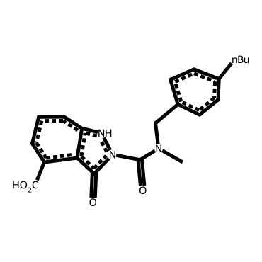 CCCCc1ccc(CN(C)C(=O)n2[nH]c3cccc(C(=O)O)c3c2=O)cc1